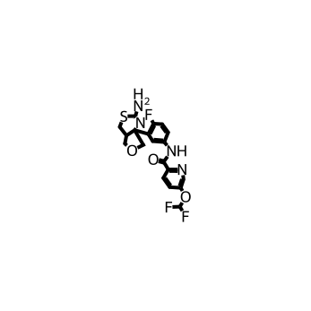 NC1=NC2(c3cc(NC(=O)c4ccc(OC(F)F)cn4)ccc3F)COCC2CS1